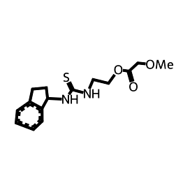 COCC(=O)OCCNC(=S)NC1CCc2ccccc21